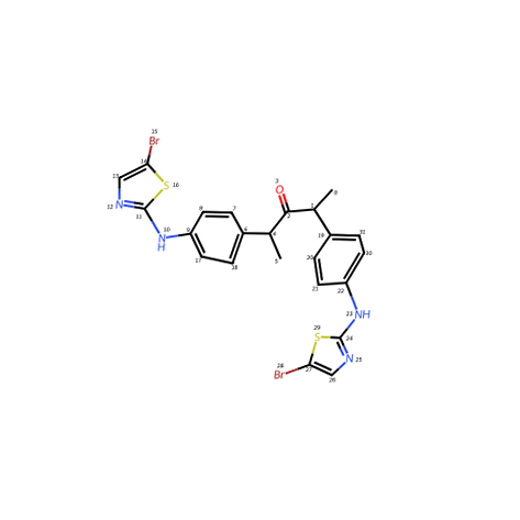 CC(C(=O)C(C)c1ccc(Nc2ncc(Br)s2)cc1)c1ccc(Nc2ncc(Br)s2)cc1